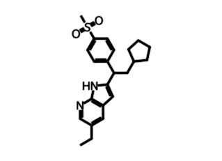 CCc1cnc2[nH]c(C(CC3CCCC3)c3ccc(S(C)(=O)=O)cc3)cc2c1